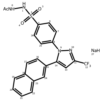 CC(=O)NNS(=O)(=O)c1ccc(-n2nc(C(F)(F)F)cc2-c2ccc3ccccc3c2)cc1.[NaH]